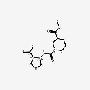 COC(=O)C1CCCN(C(=O)C[C@@H]2CCCN2C(C)C)C1